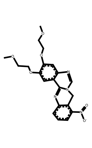 COCCOc1cc2c(cc1OCCOC)C1=Nc3cccc([N+](=O)[O-])c3CN1C=N2